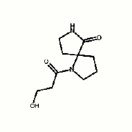 O=C(CCO)N1CCCC12CCNC2=O